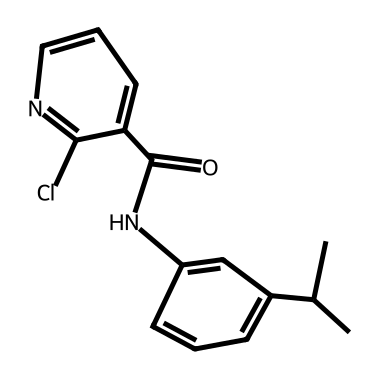 CC(C)c1cccc(NC(=O)c2cccnc2Cl)c1